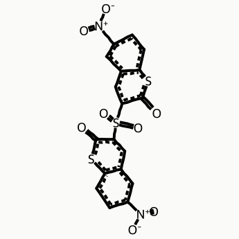 O=c1sc2ccc([N+](=O)[O-])cc2cc1S(=O)(=O)c1cc2cc([N+](=O)[O-])ccc2sc1=O